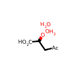 CC(=O)CC(=O)C(=O)O.O.O